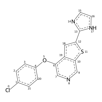 Clc1ccc(Oc2cncc3sc(-c4ncc[nH]4)cc23)cc1